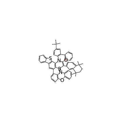 CC(C)(C)c1ccc(N2c3oc4cc5c(cc4c3B3c4c(cc6c(sc7ccccc76)c42)-c2cccc4c2N3c2ccccc2O4)C(C)(C)CCC5(C)C)c(-c2ccccc2)c1